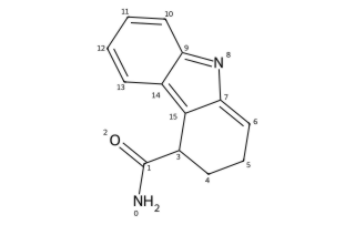 NC(=O)C1CCC=C2N=c3ccccc3=C21